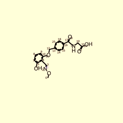 CO/N=C/c1c(O)cccc1OCc1ccc(C(=O)NCC(=O)O)cc1